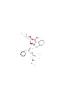 COC(=O)N[C@H](C(=O)N[C@@H](Cc1ccccc1)[C@H](CN(CC1CCCCC1)NC(=O)[C@@H](NC(=O)OC)C(C)C)OC(=O)CN(C)C)C(C)C